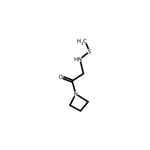 CSNCC(=O)N1CCC1